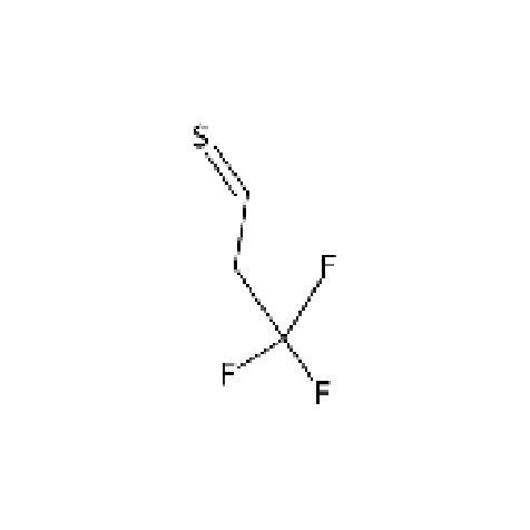 FC(F)(F)CC=S